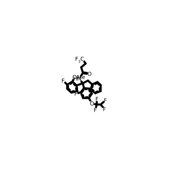 COc1c(F)cccc1C(Cc1ccccc1)(NC(=O)CCC(F)(F)F)c1ccc(OC(F)(F)C(F)F)cc1F